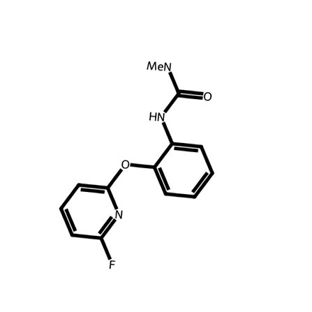 CNC(=O)Nc1ccccc1Oc1cccc(F)n1